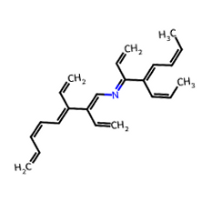 C=C\C=C/C=C(C=C)/C(C=C)=C/N=C(\C=C)C(=C/C=C\C)/C=C\C